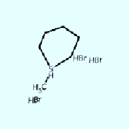 Br.Br.Br.C[SiH]1CCCCC1